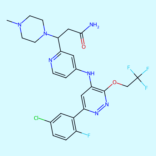 CN1CCN(C(CC(N)=O)c2cc(Nc3cc(-c4cc(Cl)ccc4F)nnc3OCC(F)(F)F)ccn2)CC1